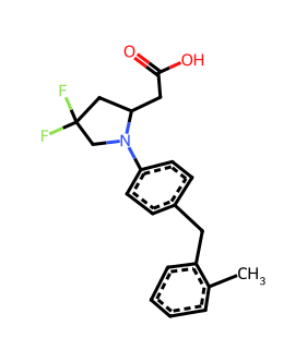 Cc1ccccc1Cc1ccc(N2CC(F)(F)CC2CC(=O)O)cc1